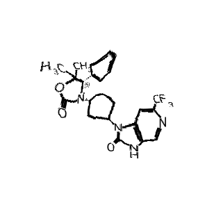 CC1(C)OC(=O)N([C@H]2CC[C@H](n3c(=O)[nH]c4cnc(C(F)(F)F)cc43)CC2)[C@H]1c1ccccc1